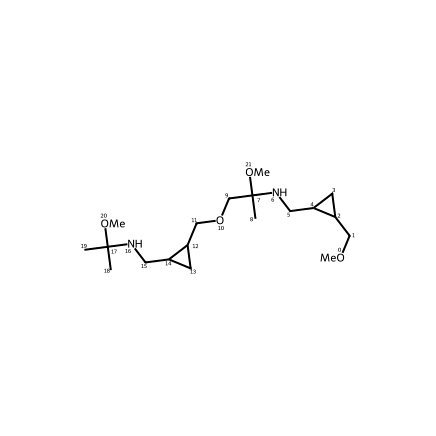 COCC1CC1CNC(C)(COCC1CC1CNC(C)(C)OC)OC